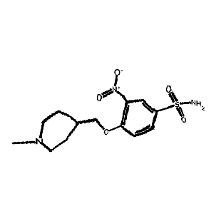 CN1CCC(COc2ccc(S(N)(=O)=O)cc2[N+](=O)[O-])CC1